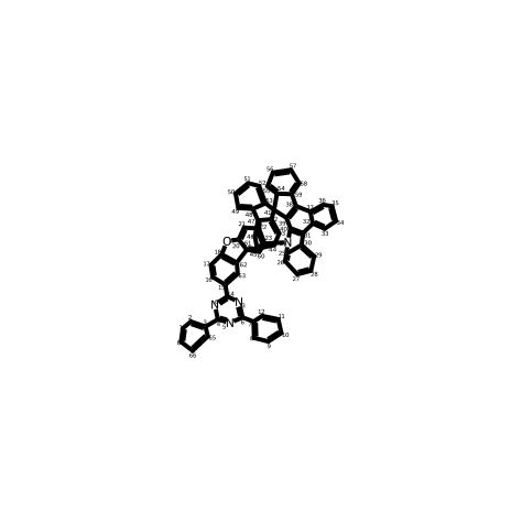 c1ccc(-c2nc(-c3ccccc3)nc(-c3ccc4oc5ccc(-n6c7ccccc7c7c8ccccc8c8c(c76)C6(c7ccccc7-c7ccccc76)c6ccccc6-8)cc5c4c3)n2)cc1